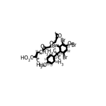 C(OCC1CO1)C1CO1.CC(C)(c1ccc(O)cc1)c1c(Br)cc(OBr)c(Br)c1Br.CC=C(C)C(=O)O